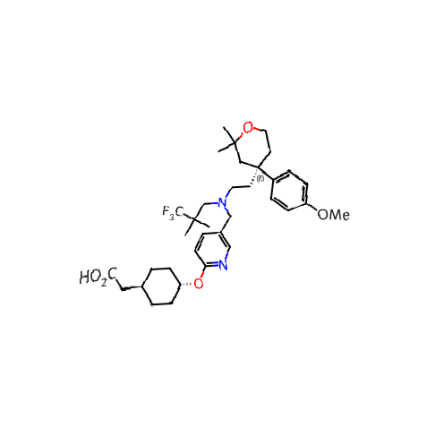 COc1ccc([C@]2(CCN(Cc3ccc(O[C@H]4CC[C@H](CC(=O)O)CC4)nc3)CC(C)(C)C(F)(F)F)CCOC(C)(C)C2)cc1